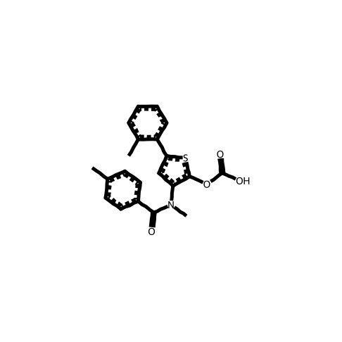 Cc1ccc(C(=O)N(C)c2cc(-c3ccccc3C)sc2OC(=O)O)cc1